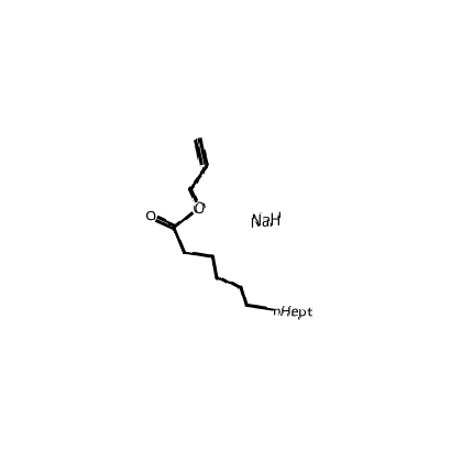 C=CCOC(=O)CCCCCCCCCCCC.[NaH]